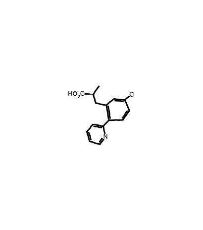 C[C@@H](Cc1cc(Cl)ccc1-c1ccccn1)C(=O)O